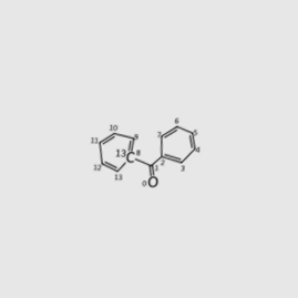 O=C(c1ccccc1)[13c]1ccccc1